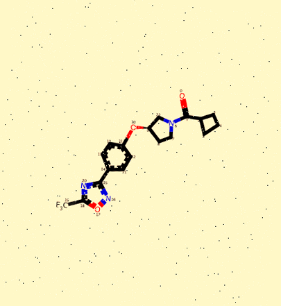 O=C(C1CCC1)N1CC[C@@H](Oc2ccc(-c3noc(C(F)(F)F)n3)cc2)C1